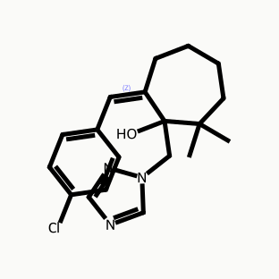 CC1(C)CCCC/C(=C/c2ccc(Cl)cc2)C1(O)Cn1cncn1